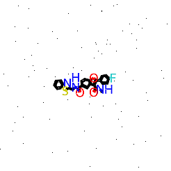 CNC(=O)c1c(-c2ccc(F)cc2)oc2ccc(C(=O)NCc3nc4ccccc4s3)cc12